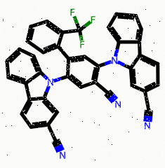 N#Cc1ccc2c3ccccc3n(-c3cc(-c4ccccc4C(F)(F)F)c(-n4c5ccccc5c5ccc(C#N)cc54)cc3C#N)c2c1